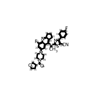 CN(c1nc(-c2ccc(F)cc2)c(C#N)s1)c1c2c(nc3c(F)cc(N4CCN(C(=O)[C@@H]5CCOC5)CC4)cc13)CCC2